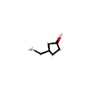 CCCCC[C]1CCC(=O)C1